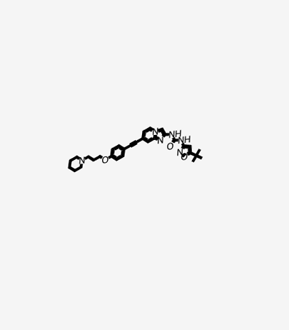 CC(C)(C)c1cc(NC(=O)Nc2cn3ccc(C#Cc4ccc(OCCCN5CCCCC5)cc4)cc3n2)no1